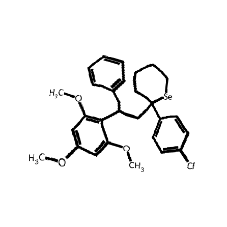 COc1cc(OC)c(C(CC2(c3ccc(Cl)cc3)CCCC[Se]2)c2ccccc2)c(OC)c1